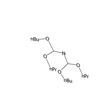 CCCCOC([N]C(OCCC)OCCCC)OCCC